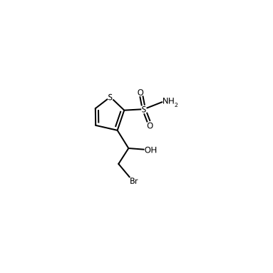 NS(=O)(=O)c1sccc1C(O)CBr